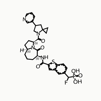 O=C(N[C@H]1CCC[C@H]2CC[C@@H](C(=O)N3CC(c4cccnc4)CC34CC4)N2C1=O)c1cc2cc(C(F)P(=O)(O)O)ccc2s1